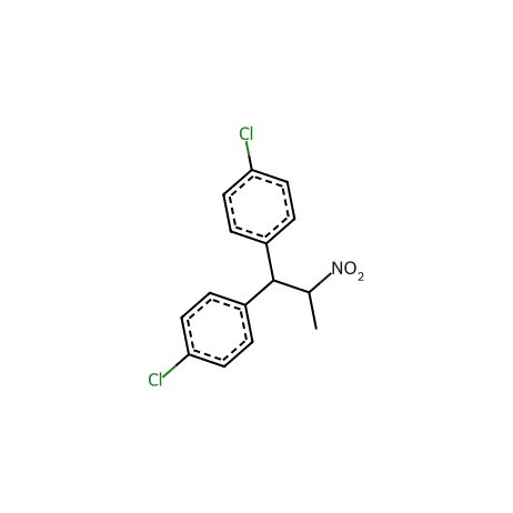 CC(C(c1ccc(Cl)cc1)c1ccc(Cl)cc1)[N+](=O)[O-]